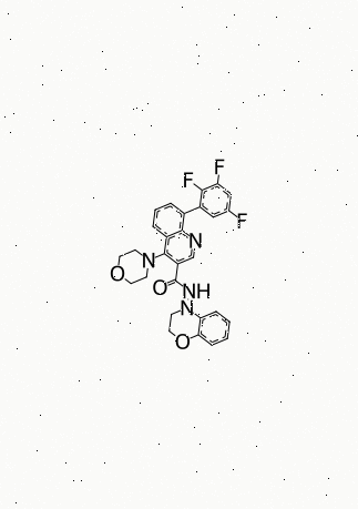 O=C(NN1CCOc2ccccc21)c1cnc2c(-c3cc(F)cc(F)c3F)cccc2c1N1CCOCC1